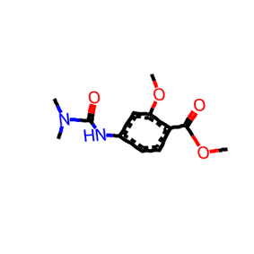 COC(=O)c1ccc(NC(=O)N(C)C)cc1OC